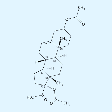 CC(=O)OC1CC[C@@]2(C)C(=CC[C@@H]3[C@@H]2CC[C@@]2(C)[C@H]3CC[C@]2(OC(C)=O)C(C)=O)C1